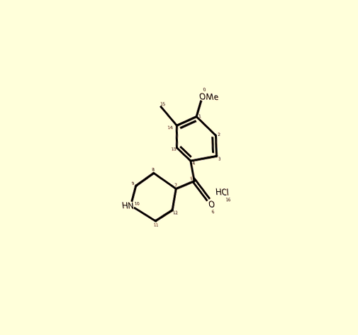 COc1ccc(C(=O)C2CCNCC2)cc1C.Cl